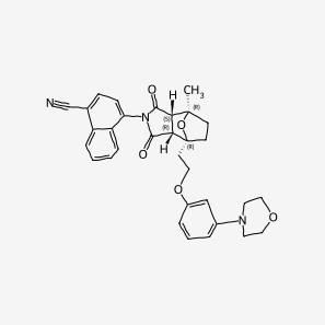 C[C@]12CC[C@](CCOc3cccc(N4CCOCC4)c3)(O1)[C@@H]1C(=O)N(c3ccc(C#N)c4ccccc34)C(=O)[C@@H]12